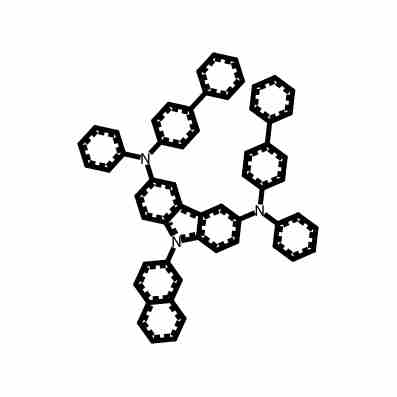 c1ccc(-c2ccc(N(c3ccccc3)c3ccc4c(c3)c3cc(N(c5ccccc5)c5ccc(-c6ccccc6)cc5)ccc3n4-c3ccc4ccccc4c3)cc2)cc1